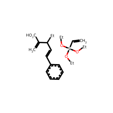 C=C(C(=O)O)C(C=Cc1ccccc1)CC.C=C[Si](OCC)(OCC)OCC